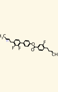 C=CCCc1ccc(C(=O)Oc2ccc(-c3ccc(C/C=C/C)c(F)c3F)cc2)cc1F